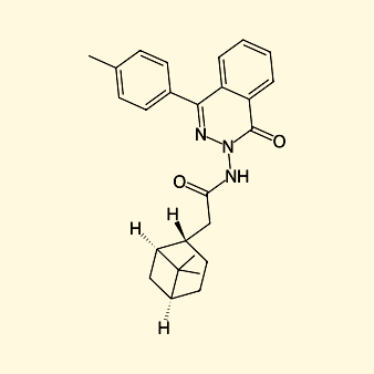 Cc1ccc(-c2nn(NC(=O)C[C@@H]3CC[C@H]4C[C@@H]3C4(C)C)c(=O)c3ccccc23)cc1